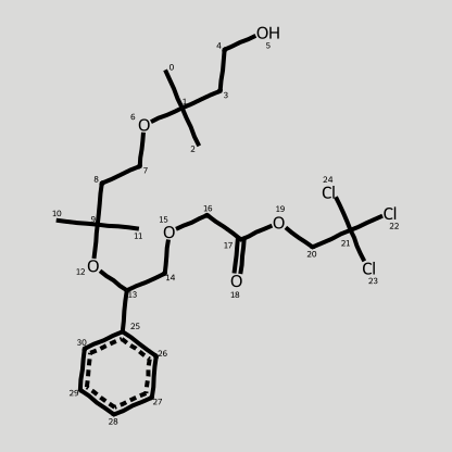 CC(C)(CCO)OCCC(C)(C)OC(COCC(=O)OCC(Cl)(Cl)Cl)c1ccccc1